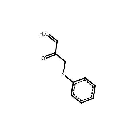 C=CC(=O)CSc1ccccc1